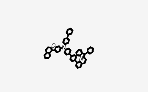 c1ccc(-c2ccc(N(c3ccc(-c4ccc(-c5cccc6ccc7c(-c8ccccc8)c8ccccc8n7c56)cc4)cc3)c3ccc4c(c3)oc3ccc5ccccc5c34)cc2)cc1